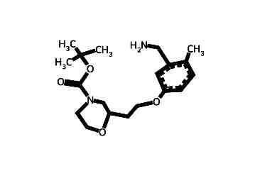 Cc1ccc(OCCC2CN(C(=O)OC(C)(C)C)CCO2)cc1CN